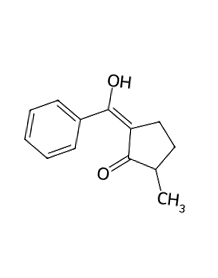 CC1CCC(=C(O)c2ccccc2)C1=O